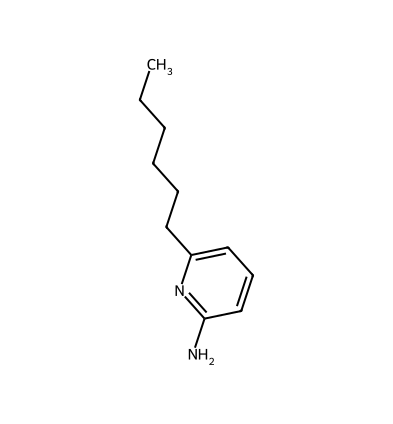 CCCCCCc1cccc(N)n1